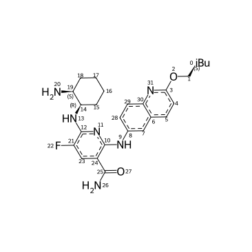 CC[C@H](C)COc1ccc2cc(Nc3nc(N[C@@H]4CCCC[C@@H]4N)c(F)cc3C(N)=O)ccc2n1